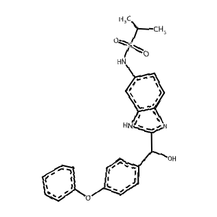 CC(C)S(=O)(=O)Nc1ccc2nc(C(O)c3ccc(Oc4ccccc4)cc3)[nH]c2c1